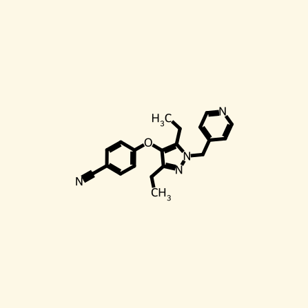 CCc1nn(Cc2ccncc2)c(CC)c1Oc1ccc(C#N)cc1